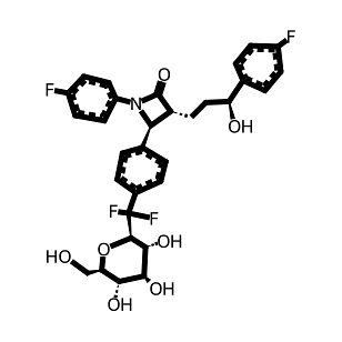 O=C1[C@H](CC[C@H](O)c2ccc(F)cc2)[C@@H](c2ccc(C(F)(F)[C@@H]3O[C@H](CO)[C@@H](O)[C@H](O)[C@H]3O)cc2)N1c1ccc(F)cc1